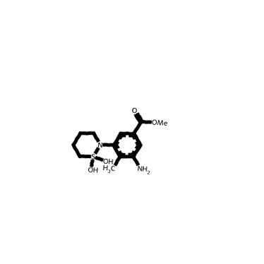 COC(=O)c1cc(N)c(C)c(N2CCCCS2(O)O)c1